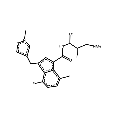 CCC(NC(=O)c1cn(Cc2cnn(C)c2)c2c(F)ccc(F)c12)C(F)CNC